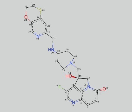 O=c1ccc2ncc(F)c3c2n1C[C@@]3(O)CN1CCC(NCc2cc3c(cn2)OCCS3)CC1